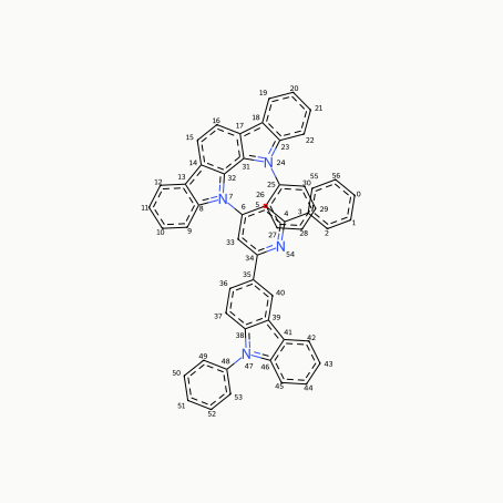 c1ccc(-c2cc(-n3c4ccccc4c4ccc5c6ccccc6n(-c6ccccc6)c5c43)cc(-c3ccc4c(c3)c3ccccc3n4-c3ccccc3)n2)cc1